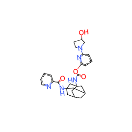 O=C(NC12CC3CC(C1)CC(NC(=O)c1ccccn1)(C3)C2)Oc1cccc(N2CCC(O)C2)n1